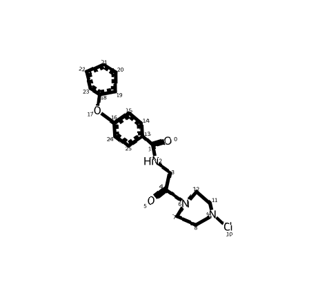 O=C(NCC(=O)N1CCN(Cl)CC1)c1ccc(Oc2ccccc2)cc1